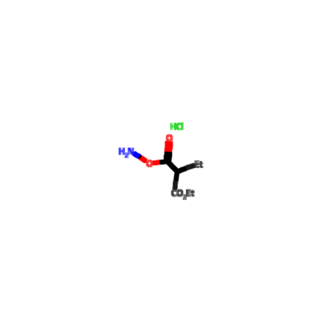 CCOC(=O)C(CC)C(=O)ON.Cl